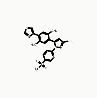 Cc1cc(-c2cc(C(F)(F)F)nn2-c2ccc(S(C)(=O)=O)cn2)c(C)cc1-c1cscn1